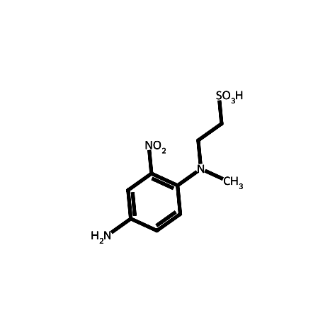 CN(CCS(=O)(=O)O)c1ccc(N)cc1[N+](=O)[O-]